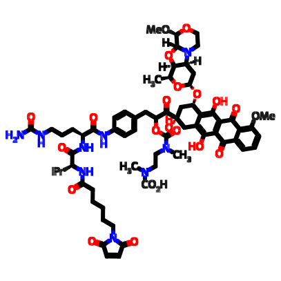 COc1cccc2c1C(=O)c1c(O)c3c(c(O)c1C2=O)C[C@@](O)(C(=O)C(Cc1ccc(NC(=O)[C@H](CCCNC(N)=O)NC(=O)[C@@H](NC(=O)CCCCCN2C(=O)C=CC2=O)C(C)C)cc1)OC(=O)N(C)CCN(C)C(=O)O)C[C@@H]3O[C@H]1C[C@H]2[C@H](O[C@@H]3[C@@H](OC)OCCN32)[C@H](C)O1